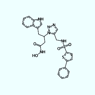 O=C(CC(Cc1c[nH]c2ccccc12)n1nncc1CNS(=O)(=O)c1ccc(-c2ccccc2)s1)NO